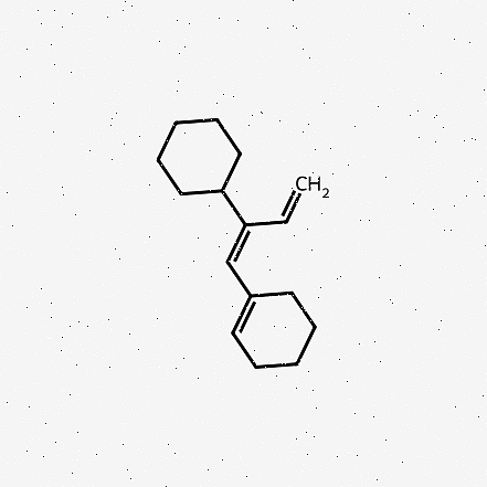 C=CC(=CC1=CCCCC1)C1CCCCC1